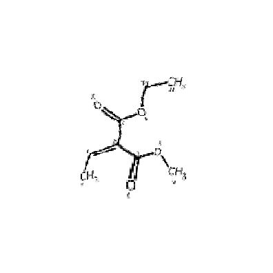 C/C=C(\C(=O)OC)C(=O)OCC